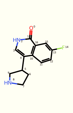 O=c1[nH]cc(C2CCNC2)c2ccc(F)cc12